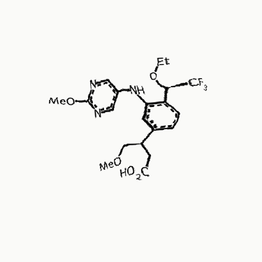 CCO[C@H](c1ccc([C@H](COC)CC(=O)O)cc1Nc1cnc(OC)nc1)C(F)(F)F